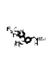 CC(C)(C)NCc1ccc(O)c(-c2cnc(C(F)(F)F)c(F)c2)c1.Cl